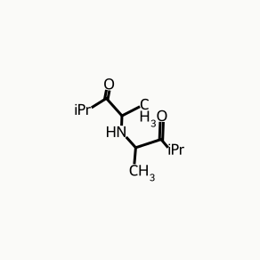 CC(C)C(=O)C(C)NC(C)C(=O)C(C)C